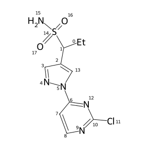 CCC(c1cnn(-c2ccnc(Cl)n2)c1)S(N)(=O)=O